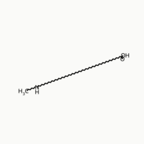 CCCCCCNCCCCCCCCCCCCCCCCCCCCCCCCCCCCCCCCCCCCCCCCCCCCCCCCCC(=O)O